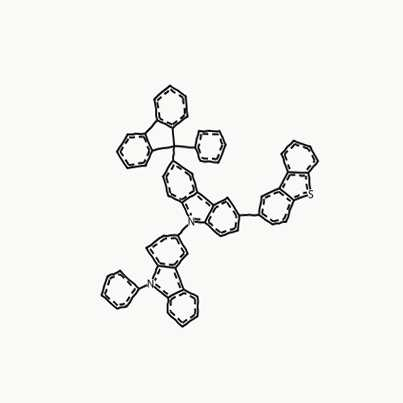 c1ccc(-n2c3ccccc3c3cc(-n4c5ccc(-c6ccc7sc8ccccc8c7c6)cc5c5cc(C6(c7ccccc7)c7ccccc7-c7ccccc76)ccc54)ccc32)cc1